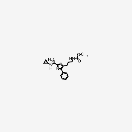 COC(=O)NCCCc1sc(C(C)NC2CC2)nc1-c1ccccc1